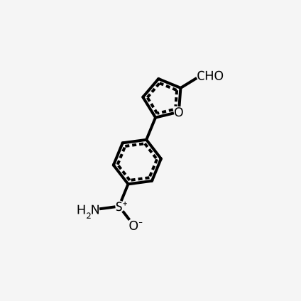 N[S+]([O-])c1ccc(-c2ccc(C=O)o2)cc1